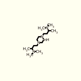 CC(CCN1CC[N](CCC(C)N(C)C)[InH][CH2]1)N(C)C